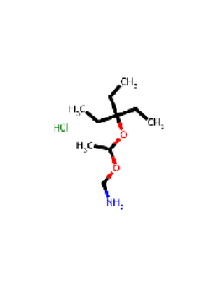 CCC(CC)(CC)OC(C)OCN.Cl